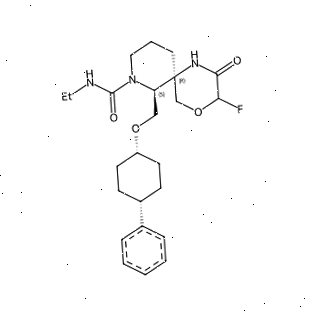 CCNC(=O)N1CCC[C@]2(COC(F)C(=O)N2)[C@H]1CO[C@H]1CC[C@@H](c2ccccc2)CC1